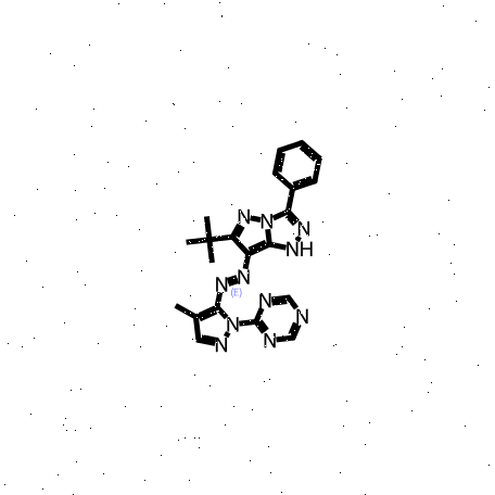 Cc1cnn(-c2ncncn2)c1/N=N/c1c(C(C)(C)C)nn2c(-c3ccccc3)n[nH]c12